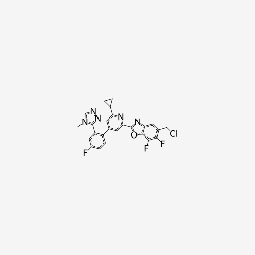 Cn1cnnc1-c1cc(F)ccc1-c1cc(-c2nc3cc(CCl)c(F)c(F)c3o2)nc(C2CC2)c1